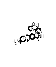 C[C@H](Nc1ncc(Cl)c(N2CCCC2=O)n1)c1ccc(CN2CCC(C)(N)CC2)c(F)c1